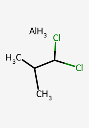 CC(C)C(Cl)Cl.[AlH3]